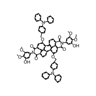 COc1cc(N2C(=O)c3ccc4c5c(OCc6ccc(N(c7ccccc7)c7ccccc7)cc6)cc6c7c(ccc(c8c(OCc9ccc(N(c%10ccccc%10)c%10ccccc%10)cc9)cc(c3c48)C2=O)c75)C(=O)N(c2cc(O)c(OC)c(OC)c2)C6=O)cc(O)c1OC